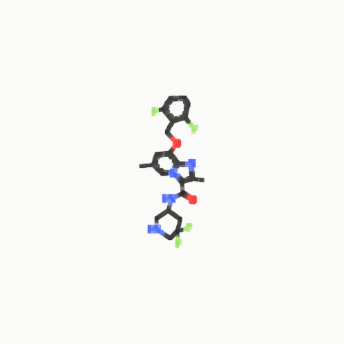 Cc1cc(OCc2c(F)cccc2F)c2nc(C)c(C(=O)NC3CNCC(F)(F)C3)n2c1